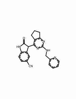 N#Cc1ccc2c(c1)C(c1nc(NCc3ccccn3)nc3c1CCC3)C(=O)N2